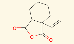 C=CC12CCCCC1C(=O)OC2=O